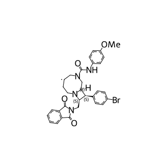 COc1ccc(NC(=O)N2C[CH]CCN3[C@H](CN4C(=O)c5ccccc5C4=O)[C@H](c4ccc(Br)cc4)[C@@H]3C2)cc1